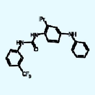 CC(C)c1cc(Nc2ccccc2)ccc1NC(=O)Nc1cccc(C(F)(F)F)c1